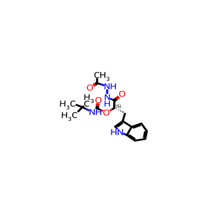 CC(=O)NNC(=O)[C@H](Cc1c[nH]c2ccccc12)OC(=O)NC(C)(C)C